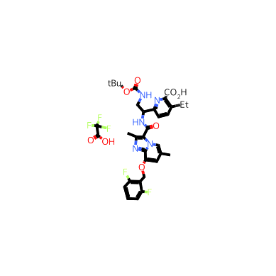 CCc1ccc(C(CNC(=O)OC(C)(C)C)NC(=O)c2c(C)nc3c(OCc4c(F)cccc4F)cc(C)cn23)nc1C(=O)O.O=C(O)C(F)(F)F